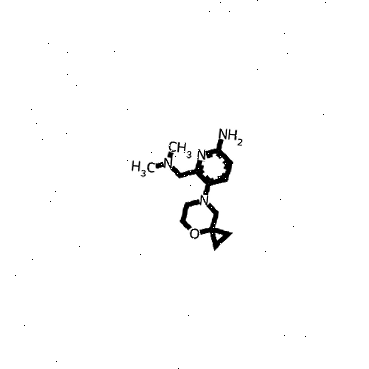 CN(C)Cc1nc(N)ccc1N1CCOC2(CC2)C1